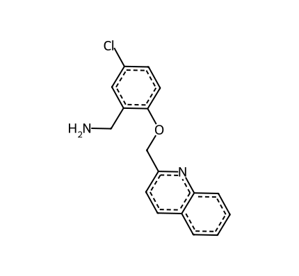 NCc1cc(Cl)ccc1OCc1ccc2ccccc2n1